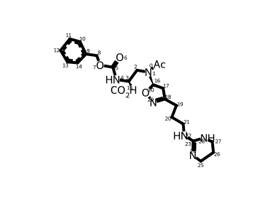 CC(=O)N(C[C@H](NC(=O)OCc1ccccc1)C(=O)O)[C@H]1CC(CCCNC2=NCCCN2)=NO1